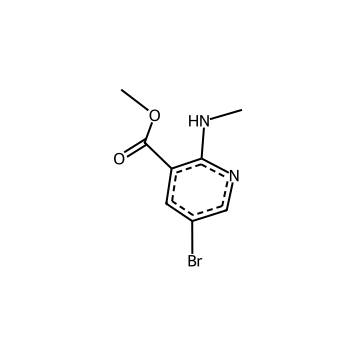 CNc1ncc(Br)cc1C(=O)OC